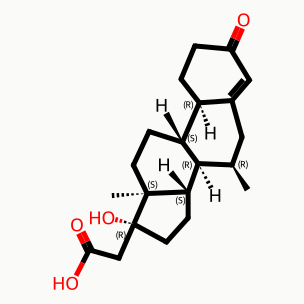 C[C@@H]1CC2=CC(=O)CC[C@@H]2[C@H]2CC[C@@]3(C)[C@@H](CC[C@@]3(O)CC(=O)O)[C@@H]21